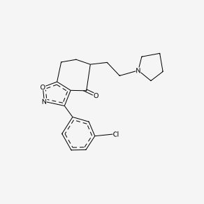 O=C1c2c(-c3cccc(Cl)c3)noc2CCC1CCN1CCCC1